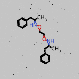 CC(Cc1ccccc1)NOCCONC(C)Cc1ccccc1